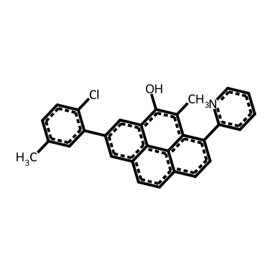 Cc1ccc(Cl)c(-c2cc3ccc4ccc(-c5ccccn5)c5c(C)c(O)c(c2)c3c45)c1